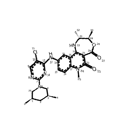 C[C@@H]1C[C@H](C)CN(c2ncc(Cl)c(Nc3ccc4c(c3)c3c(c(=O)n4C)C(=O)O[C@H](C)[C@@H](C)N3)n2)C1